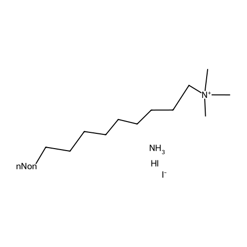 CCCCCCCCCCCCCCCCCC[N+](C)(C)C.I.N.[I-]